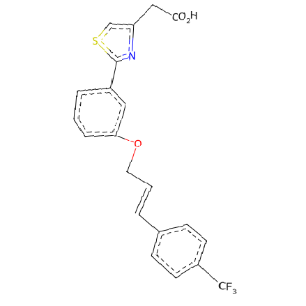 O=C(O)Cc1csc(-c2cccc(OC/C=C/c3ccc(C(F)(F)F)cc3)c2)n1